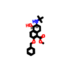 COC(=O)c1c(OCc2ccccc2)ccc2c1CC[C@H](NC(C)(C)C)[C@@H]2O